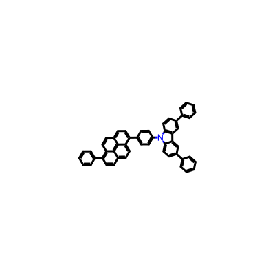 c1ccc(-c2ccc3c(c2)c2cc(-c4ccccc4)ccc2n3-c2ccc(-c3ccc4ccc5c(-c6ccccc6)ccc6ccc3c4c65)cc2)cc1